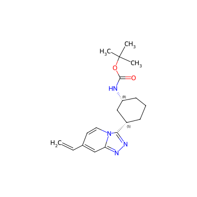 C=Cc1ccn2c([C@H]3CCC[C@@H](NC(=O)OC(C)(C)C)C3)nnc2c1